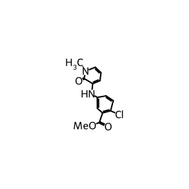 COC(=O)c1cc(Nc2cccn(C)c2=O)ccc1Cl